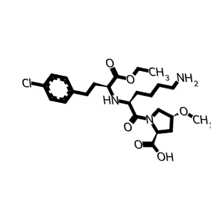 CCOC(=O)[C@H](CCc1ccc(Cl)cc1)N[C@@H](CCCCN)C(=O)N1C[C@H](OC)C[C@H]1C(=O)O